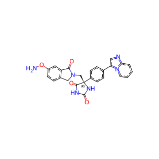 NOc1ccc2c(c1)C(=O)N(C[C@@]1(c3ccc(-c4cnc5ccccn45)cc3)NC(=O)NC1=O)C2